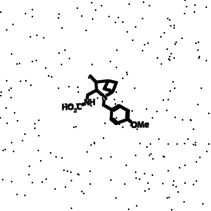 COc1ccc(CN2C3CC(C3)C(C)C2CNC(=O)O)cc1